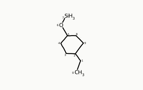 CCC1CCC(O[SiH3])CC1